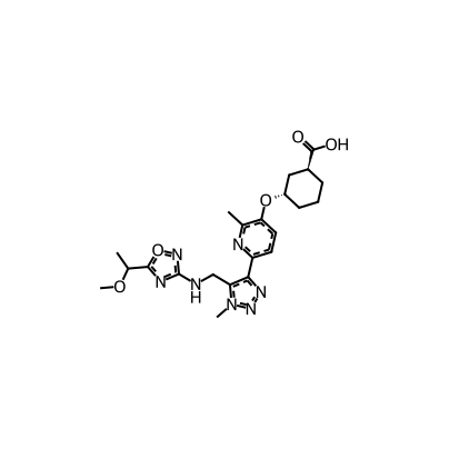 COC(C)c1nc(NCc2c(-c3ccc(O[C@H]4CCC[C@H](C(=O)O)C4)c(C)n3)nnn2C)no1